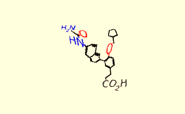 NCC(=O)Nc1ccc2cc(-c3cc(CCC(=O)O)ccc3OCC3CCCC3)ccc2c1